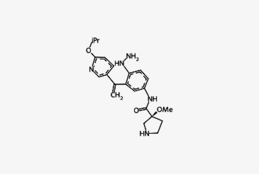 C=C(c1ccc(OC(C)C)nc1)c1cc(NC(=O)[C@]2(OC)CCNC2)ccc1NN